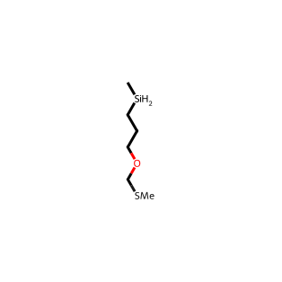 C[SiH2]CCCOCSC